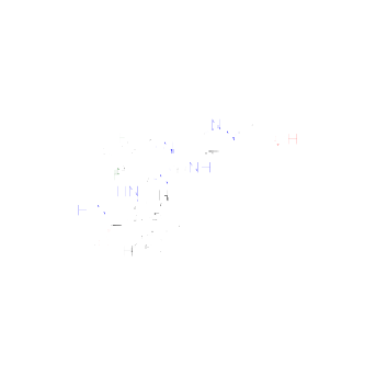 NC(=O)[C@H]1[C@@H](Nc2nc(Nc3cnn(CCO)c3)ncc2C(F)(F)F)[C@@H]2C=C[C@H]1C2